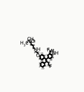 CN(C)C(=O)/C=C/CNCCOc1ccc(/C(=C(/CCF)c2ccccc2)c2ccc3[nH]nc(F)c3c2)cc1